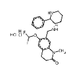 CN1C(=O)CCc2cc(OC(F)F)c(CN[C@H]3CCCNC3c3ccccc3)cc21.Cl.Cl